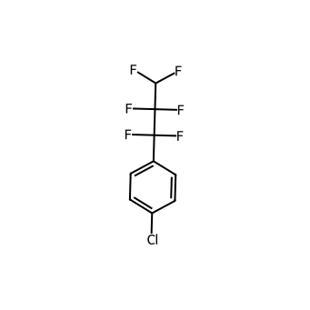 FC(F)C(F)(F)C(F)(F)c1ccc(Cl)cc1